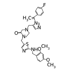 COc1ccc(CNc2ncc(CN3CCN(Cc4cncn4[C@H](C)c4ccc(F)cc4)CC3=O)s2)c(OC)c1